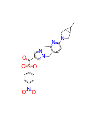 Cc1nc(N2CC3C(C)C3C2)ccc1Cn1cc(C(=O)S(=O)(=O)c2ccc([N+](=O)[O-])cc2)cn1